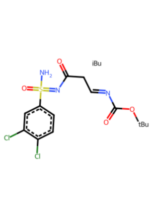 CC[C@H](C)C(/C=N/C(=O)OC(C)(C)C)C(=O)N=S(N)(=O)c1ccc(Cl)c(Cl)c1